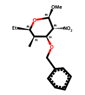 CC[C@H]1O[C@@H](OC)[C@H]([N+](=O)[O-])[C@@H](OCc2ccccc2)[C@H]1C